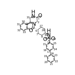 O=C1CN(C(=O)[C@H]2CC[C@H](NS(=O)(=O)c3ccc(-c4ccccc4)cc3)CC2)[C@@H](c2ccccc2)CN1